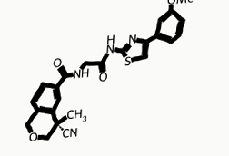 COc1cccc(-c2csc(NC(=O)CNC(=O)c3ccc4c(c3)[C@](C)(C#N)COC4)n2)c1